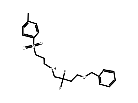 Cc1ccc(S(=O)(=O)CCCNCC(F)(F)CCOCc2ccccc2)cc1